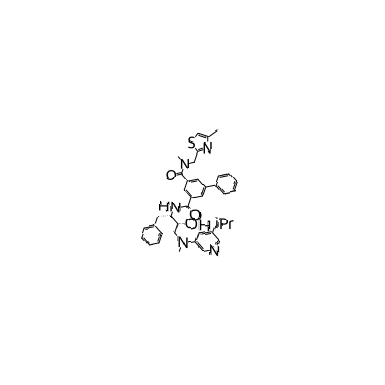 Cc1csc(CN(C)C(=O)c2cc(C(=O)N[C@@H](Cc3ccccc3)[C@H](O)CN(C)c3cncc(C(C)C)c3)cc(-c3ccccc3)c2)n1